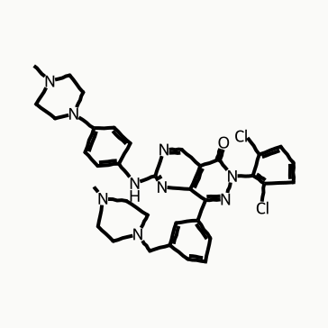 CN1CCN(Cc2cccc(-c3nn(-c4c(Cl)cccc4Cl)c(=O)c4cnc(Nc5ccc(N6CCN(C)CC6)cc5)nc34)c2)CC1